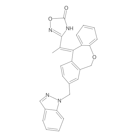 C/C(=C1\c2ccc(Cn3ncc4ccccc43)cc2COc2ccccc21)c1noc(=O)[nH]1